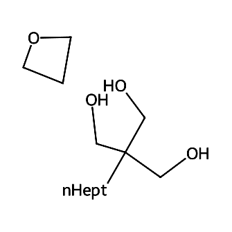 C1COC1.CCCCCCCC(CO)(CO)CO